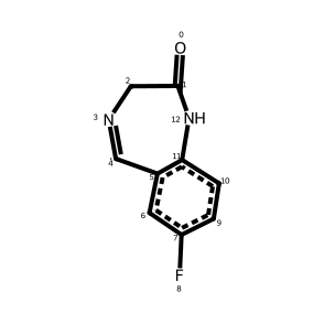 O=C1CN=[C]c2cc(F)ccc2N1